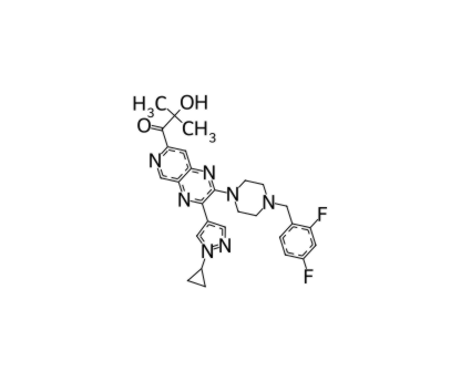 CC(C)(O)C(=O)c1cc2nc(N3CCN(Cc4ccc(F)cc4F)CC3)c(-c3cnn(C4CC4)c3)nc2cn1